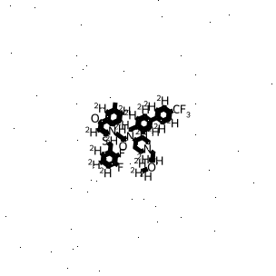 [2H]c1c([2H])c(F)c(F)c(CSc2c([2H])c(=O)c3c([2H])c(C)c([2H])c([2H])c3n2C([2H])([2H])C(=O)N(Cc2c([2H])c([2H])c(-c3c([2H])c([2H])c(C(F)(F)F)c([2H])c3[2H])c([2H])c2[2H])C2CCN(CC([2H])([2H])OC([2H])([2H])[2H])CC2)c1[2H]